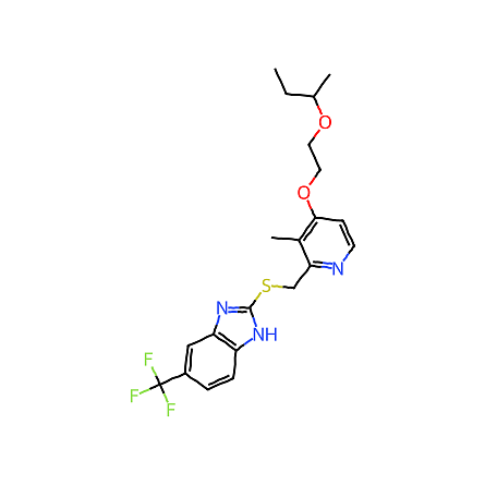 CCC(C)OCCOc1ccnc(CSc2nc3cc(C(F)(F)F)ccc3[nH]2)c1C